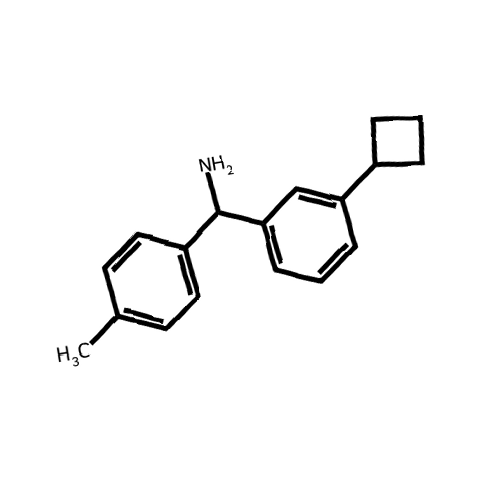 Cc1ccc(C(N)c2cccc(C3CCC3)c2)cc1